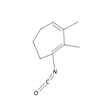 CC1=CCCCC(N=C=O)=C1C